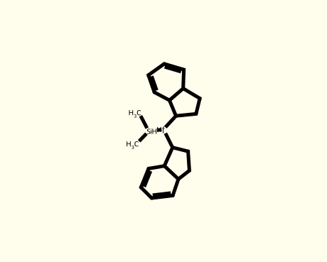 C[SiH](C)[Hf]([CH]1CCC2C=CC=CC21)[CH]1CCC2C=CC=CC21